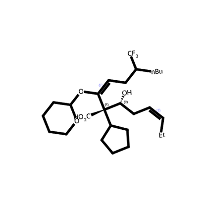 CC/C=C\C[C@@H](O)[C@@](C(=O)O)(/C(=C\CC(CCCC)C(F)(F)F)OC1CCCCO1)C1CCCC1